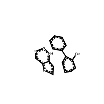 Oc1ccccc1-c1ccccc1.c1cc2[nH]nncc-2n1